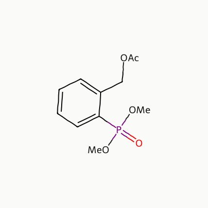 COP(=O)(OC)c1ccccc1COC(C)=O